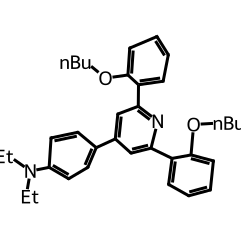 CCCCOc1ccccc1-c1cc(-c2ccc(N(CC)CC)cc2)cc(-c2ccccc2OCCCC)n1